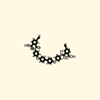 C#Cc1ccc(C(=O)O)c(C(=O)Nc2ccc(Oc3ccc(-c4ccc(Oc5ccc(NC(=O)c6cc(C#C)ccc6C(=O)O)cc5)cc4)cc3)cc2)c1